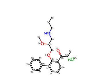 CCCNCC(COc1c(C(=O)CC)cccc1-c1ccccc1)OC.Cl